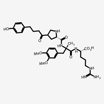 COc1ccc(C[C@](C)(NC(=O)[C@@H]2CC(C(=O)CCCc3ccc(O)cc3)CN2)C(=O)N[C@@H](CCCNC(=N)N)C(=O)O)cc1OC